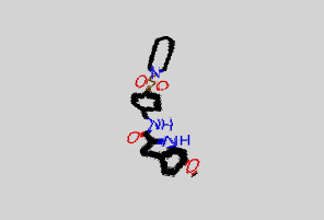 COc1ccc2cc(C(=O)NCc3ccc(S(=O)(=O)N4CCCCC4)cc3)[nH]c2c1